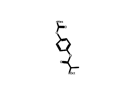 CCCCCCCCC(C)C(=O)Oc1ccc(OC(=O)CCCCCC)cc1